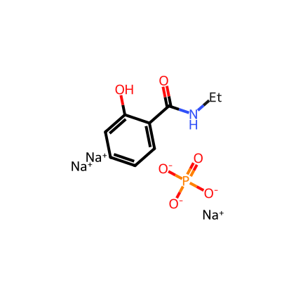 CCNC(=O)c1ccccc1O.O=P([O-])([O-])[O-].[Na+].[Na+].[Na+]